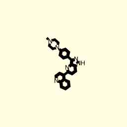 CN1CCN(c2ccc(-c3n[nH]c4ccc(-c5ccnc6ccccc56)nc34)cc2)CC1